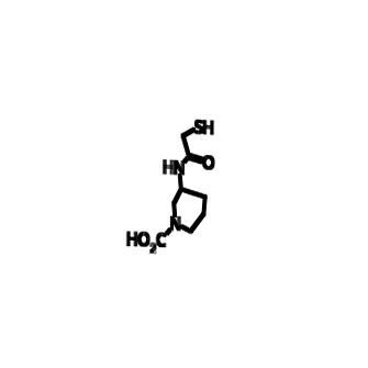 O=C(CS)NC1CCCN(C(=O)O)C1